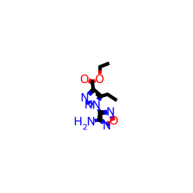 CCOC(=O)c1nnn(-c2nonc2N)c1CC